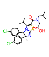 CC(C)CN(CC(=O)O)C(=O)C1=C(C(C)C)N2C(=N[C@@](C)(c3ccc(Cl)cc3)[C@H]2c2ccc(Cl)cc2)S1